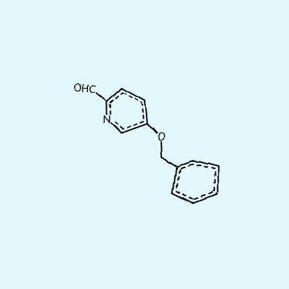 O=Cc1ccc(OCc2ccccc2)cn1